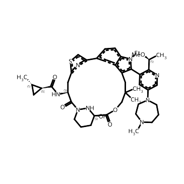 CCn1c(-c2cc(N3CCCN(C)CC3)cnc2[C@H](C)OC)c2c3cc(ccc31)-c1csc(n1)C[C@H](NC(=O)[C@H]1C[C@@H]1C)C(=O)N1CCC[C@@](O)(N1)C(=O)OCC(C)(C)C2